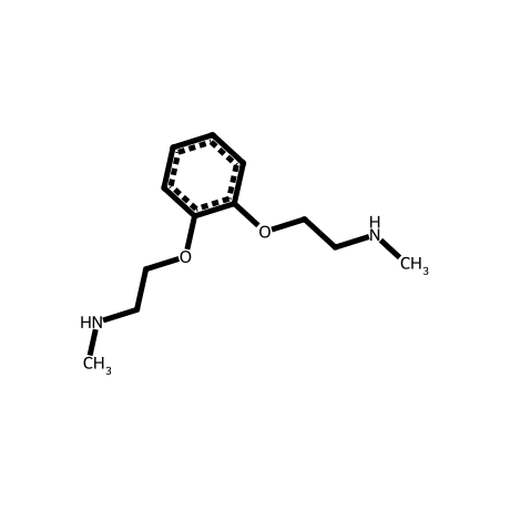 CNCCOc1ccccc1OCCNC